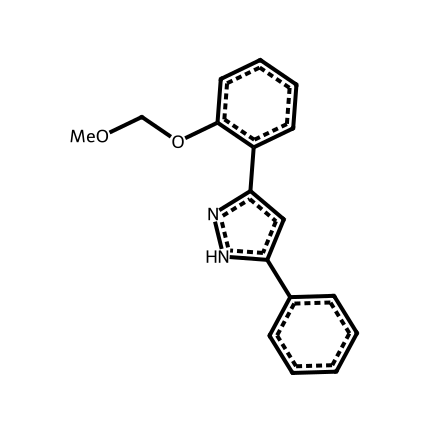 COCOc1ccccc1-c1cc(-c2ccccc2)[nH]n1